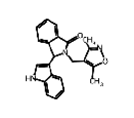 Cc1noc(C)c1CN1C(=O)c2ccccc2C1c1c[nH]c2ccccc12